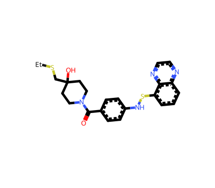 CCSCC1(O)CCN(C(=O)c2ccc(NSc3cccc4nccnc34)cc2)CC1